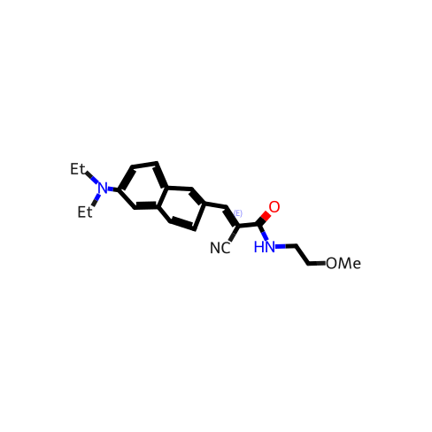 CCN(CC)c1ccc2cc(/C=C(\C#N)C(=O)NCCOC)ccc2c1